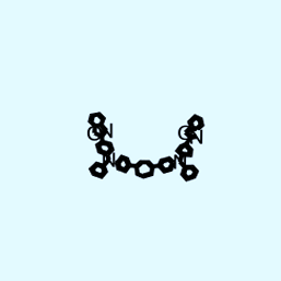 C1=CC2N=C(c3ccc(N(c4ccccc4)c4ccc(C5=CC=C(c6ccc(N(c7ccccc7)c7ccc(-c8nc9ccccc9o8)cc7)cc6)C=CC5)cc4)cc3)OC2C=C1